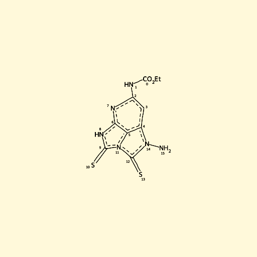 CCOC(=O)Nc1cc2c3c(n1)[nH]c(=S)n3c(=S)n2N